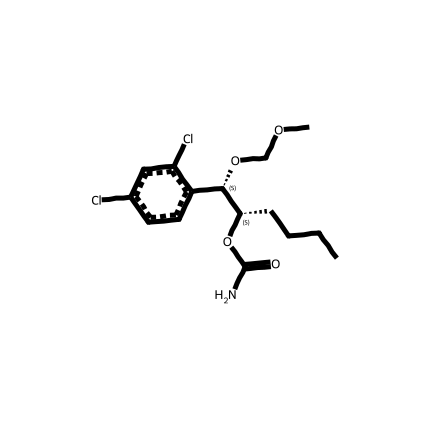 CCCC[C@H](OC(N)=O)[C@@H](OCOC)c1ccc(Cl)cc1Cl